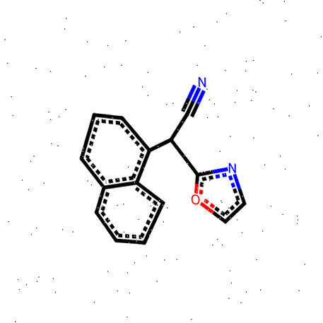 N#CC(c1ncco1)c1cccc2ccccc12